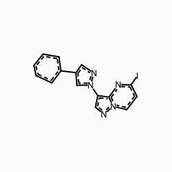 Ic1ccn2ncc(-n3cc(-c4ccccc4)cn3)c2n1